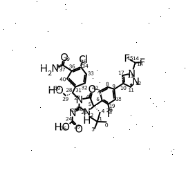 CC(C)(C)C[C@]1(c2ccc(-c3cnn(C(F)F)c3)cc2F)N/C(=N\C(=O)O)N([C@H](CO)c2ccc(Cl)c(C(N)=O)c2)C1=O